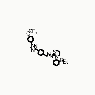 CCOc1ccccc1N1CCCS/C1=N\N=C\c1ccc(-c2ncn(-c3ccc(OC(F)(F)F)cc3)n2)cc1